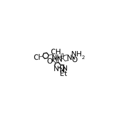 CCn1ncc2c(NC3CCN(C(N)=O)CC3)c(C(=O)NC(C)c3ccc(Cl)cc3)cnc21